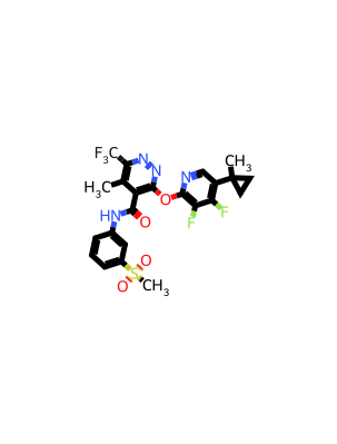 Cc1c(C(F)(F)F)nnc(Oc2ncc(C3(C)CC3)c(F)c2F)c1C(=O)Nc1cccc(S(C)(=O)=O)c1